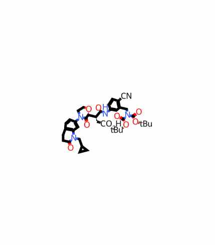 CC(C)(C)OC(=O)N(Cc1cc(NC(=O)[C@H](CC(=O)O)[C@H]2OCCN(c3ccc4c(c3)N(CC3CC3)C(=O)CC4)C2=O)ccc1C#N)C(=O)OC(C)(C)C